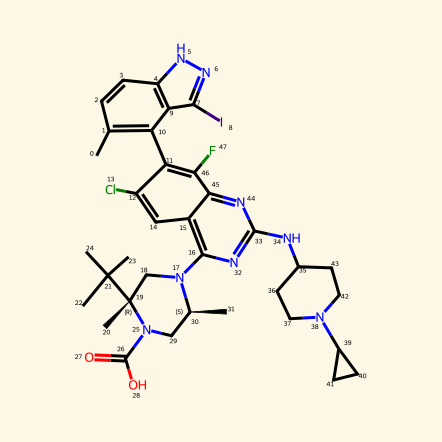 Cc1ccc2[nH]nc(I)c2c1-c1c(Cl)cc2c(N3C[C@@](C)(C(C)(C)C)N(C(=O)O)C[C@@H]3C)nc(NC3CCN(C4CC4)CC3)nc2c1F